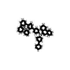 c1ccc(-c2ccc(N(c3ccc(-c4ccc5c(c4)[Si](c4ccccc4)(c4ccccc4)c4ccccc4-5)cc3)c3cc4ccccc4c4ccccc34)cc2)cc1